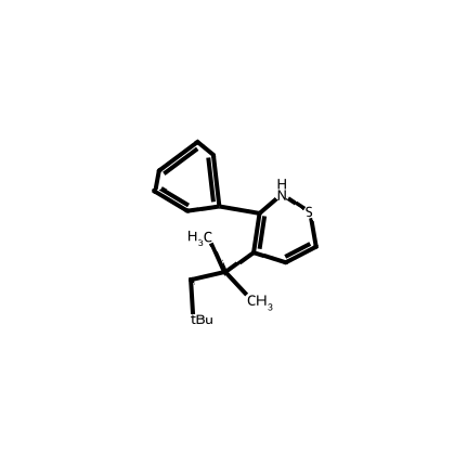 CC(C)(C)CC(C)(C)C1=C(c2ccccc2)NSC=C1